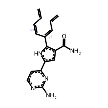 C=C/C=C\C(=C/C=C)c1[nH]c(-c2ccnc(N)n2)cc1C(N)=O